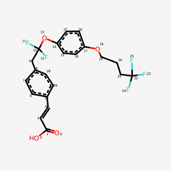 O=C(O)C=Cc1ccc(CC(F)(F)Oc2ccc(OCCCC(F)(F)F)cc2)cc1